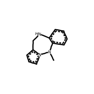 CN1c2ccccc2NCc2cccn21